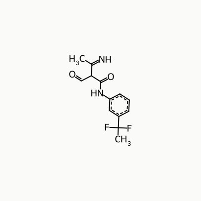 CC(=N)C(C=O)C(=O)Nc1cccc(C(C)(F)F)c1